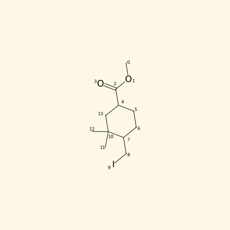 COC(=O)C1CCC(CI)C(C)(C)C1